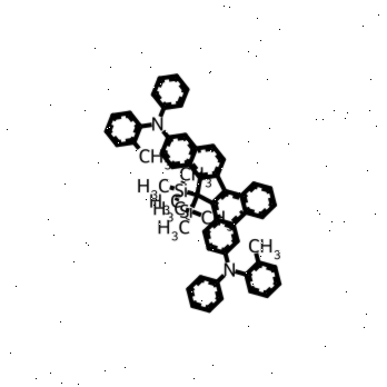 Cc1ccccc1N(c1ccccc1)c1ccc2c3c(ccc2c1)-c1c(c2ccc(N(c4ccccc4)c4ccccc4C)cc2c2ccccc12)C3([Si](C)(C)C)[Si](C)(C)C